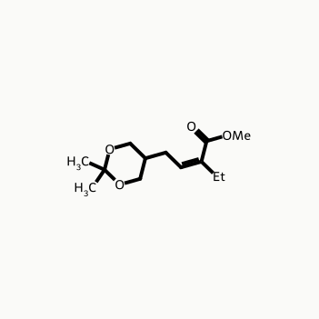 CCC(=CCC1COC(C)(C)OC1)C(=O)OC